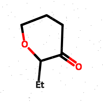 CCC1OCCCC1=O